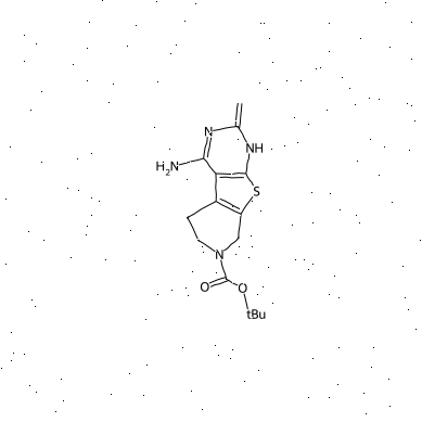 C=C1N=C(N)c2c(sc3c2CCN(C(=O)OC(C)(C)C)C3)N1